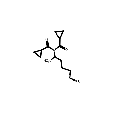 NCCCCC(C(=O)O)N(C(=O)C1CC1)C(=O)C1CC1